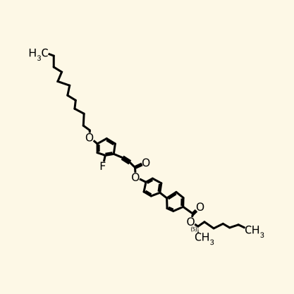 CCCCCCCCCCCCOc1ccc(C#CC(=O)Oc2ccc(-c3ccc(C(=O)O[C@@H](C)CCCCCC)cc3)cc2)c(F)c1